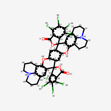 O=C1OC2(c3cc4c(cc3Oc3c2cc2c5c3CCCN5CCC2)C2(OC(=O)c3c(F)c(F)c(F)c(F)c32)c2cc3c5c(c2O4)CCCN5CCC3)c2c(F)c(F)c(F)c(F)c21